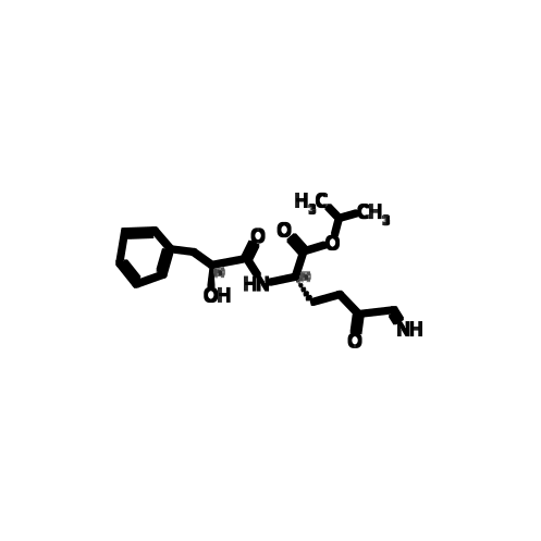 CC(C)OC(=O)[C@H](CCC(=O)C=N)NC(=O)[C@@H](O)Cc1ccccc1